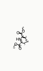 COC(=O)C1=CSC[C@@H](C(=O)OC)N1